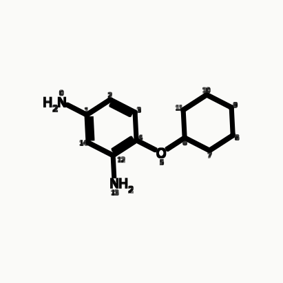 Nc1ccc(OC2CCCCC2)c(N)c1